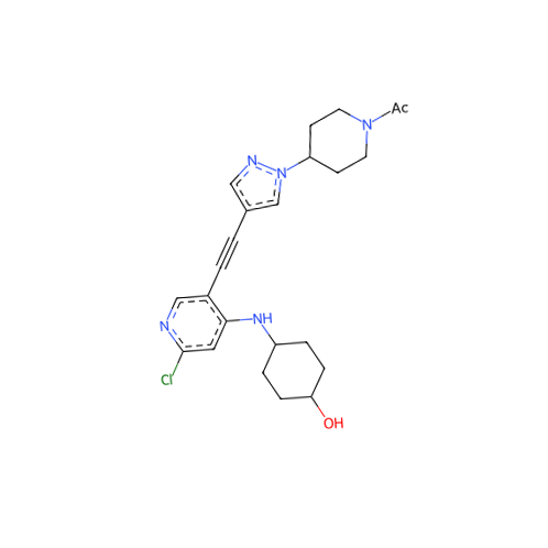 CC(=O)N1CCC(n2cc(C#Cc3cnc(Cl)cc3NC3CCC(O)CC3)cn2)CC1